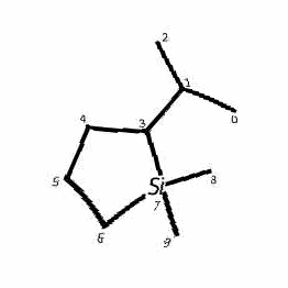 CC(C)C1CCC[Si]1(C)C